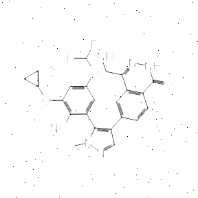 Cn1ncc(-c2ccc3c(=O)[nH]nc(CN)c3c2)c1-c1cc(OC(F)F)cc(OC2CC2)c1C#N